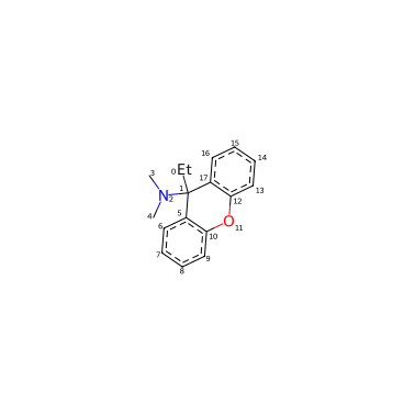 CCC1(N(C)C)c2ccccc2Oc2ccccc21